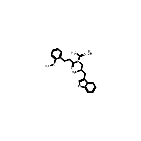 COc1ccccc1CCC(=O)N(CC(N)Cc1c[nH]c2ccccc12)C(C)=O.Cl.Cl